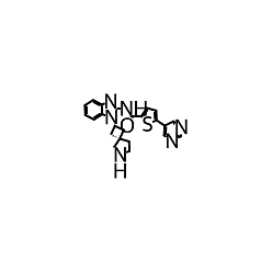 O=C(Nc1nc2ccccc2n1[C@H]1C[C@@]2(CCNC2)C1)c1ccc(-c2cncnc2)s1